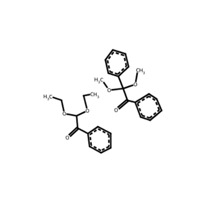 CCOC(OCC)C(=O)c1ccccc1.COC(OC)(C(=O)c1ccccc1)c1ccccc1